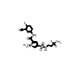 Cn1cc(S(=O)(=O)NCCC(C)(F)F)cc1C(=O)Nc1ccc(F)c(C#N)c1